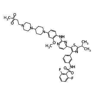 COc1cc(N2CCC(N3CCN(CCS(C)(=O)=O)CC3)CC2)ccc1Nc1nccc(-c2sc(C(C)C)nc2-c2cccc(NS(=O)(=O)c3c(F)cccc3F)c2)n1